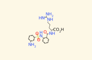 N=C(N)NCCC[C@H](NC(=O)c1ccccc1NS(=O)(=O)c1cccc(N)c1)C(=O)O